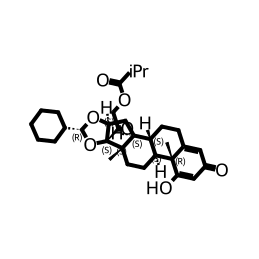 CC(C)C(=O)OCC(=O)[C@@]12O[C@H](C3CCCCC3)O[C@H]1C[C@H]1[C@@H]3CCC4=CC(=O)C=C(O)[C@]4(C)[C@H]3CC[C@@]12C